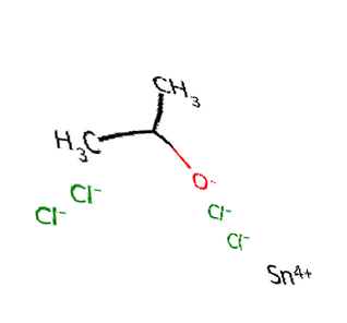 CC(C)[O-].[Cl-].[Cl-].[Cl-].[Cl-].[Sn+4]